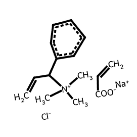 C=CC(=O)[O-].C=CC(c1ccccc1)[N+](C)(C)C.[Cl-].[Na+]